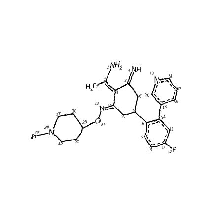 C/C(N)=C1/C(=N)CC(c2ccc(F)cc2-c2cccnc2)C/C1=N\OC1CCN(C(C)C)CC1